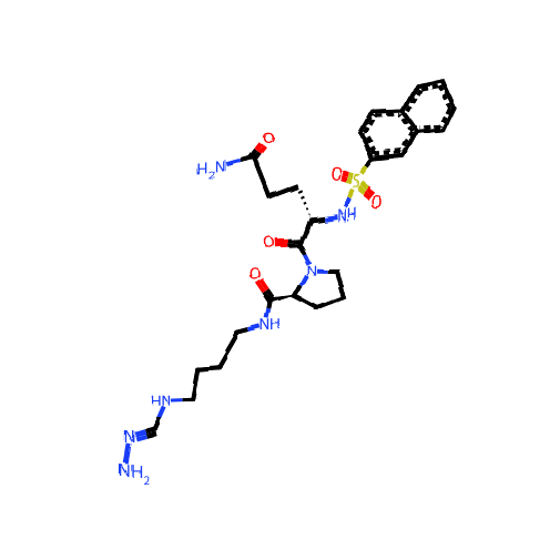 NN=CNCCCCNC(=O)[C@@H]1CCCN1C(=O)[C@H](CCC(N)=O)NS(=O)(=O)c1ccc2ccccc2c1